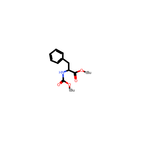 CC(C)(C)OC(=O)NC(Cc1ccccc1)C(=O)OC(C)(C)C